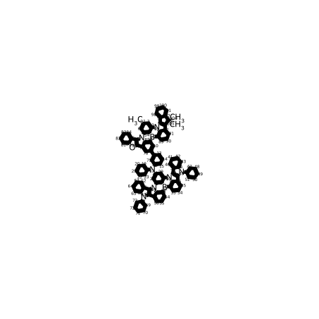 Cc1cc2c3c(c1)-n1c4c(cc(-c5cccc(N(c6ccccc6)c6cc7c8c(c6)-n6c9c(cccc9c9c6c6ccccc6n9-c6ccccc6)B8c6cccc8c6n-7c6c7ccccc7n(-c7ccccc7)c86)c5)cc4c4oc5ccccc5c41)B3c1cccc3c4c(n-2c13)-c1ccccc1C4(C)C